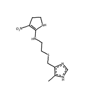 Cc1[nH]cnc1CSCCNC1=C([N+](=O)[O-])CCN1